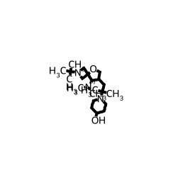 CN(C)[C@@H]1C(CC(C)(C)N2CCC(O)CC2)COC12CN(C(C)(C)C)C2